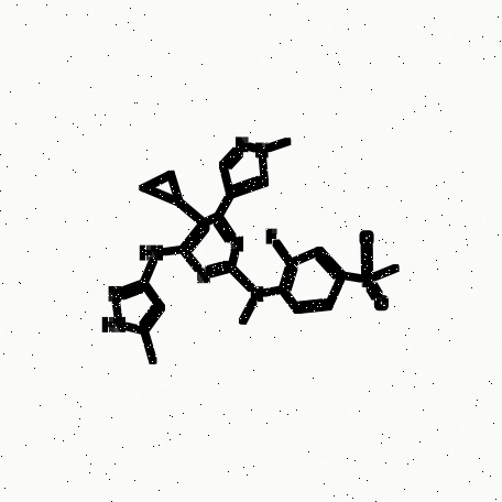 Cc1cc(Nc2nc(N(C)c3ccc(S(C)(=O)=O)cc3F)nc(-c3cnn(C)c3)c2C2CC2)n[nH]1